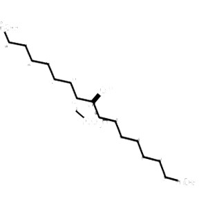 CC(=O)O.CCCCCCCCCCCCCCCCCC(=O)CCCCCCCCCCCCCCCCC